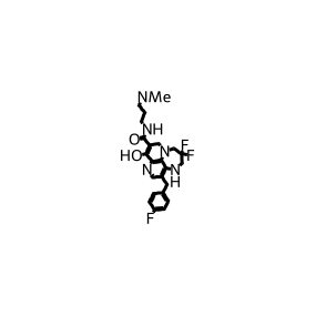 CNCCCNC(=O)C1=C(O)c2ncc(Cc3ccc(F)cc3)c3c2N(C1)CC(F)(F)CN3